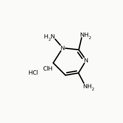 Cl.Cl.NC1=CCN(N)C(N)=N1